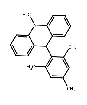 Cc1cc(C)c(C2c3ccccc3N(C)c3ccccc32)c(C)c1